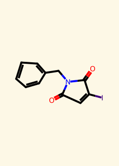 O=C1C=C(I)C(=O)N1Cc1ccccc1